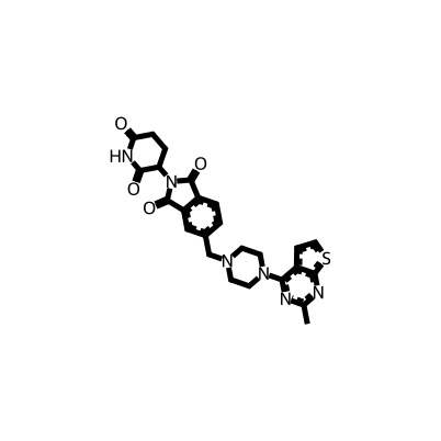 Cc1nc(N2CCN(Cc3ccc4c(c3)C(=O)N(C3CCC(=O)NC3=O)C4=O)CC2)c2ccsc2n1